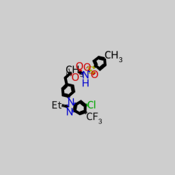 CCc1nc2cc(C(F)(F)F)c(Cl)cc2n1-c1ccc(C[C@H](C)OC(=O)NS(=O)(=O)c2ccc(C)cc2)cc1